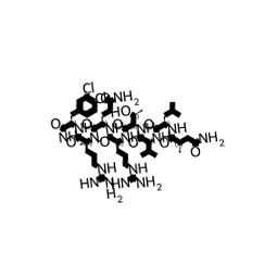 CC(C)C[C@H](NC(=O)[C@@H](C)CC(N)=O)C(=O)N[C@H](C(=O)N[C@H](C(=O)N[C@@H](CCCNC(=N)N)C(=O)N[C@@H](CCC(N)=O)C(=O)N(C)[C@@H](CCCNC(=N)N)C(=O)N[C@@H](Cc1ccc(Cl)c(Cl)c1)C(N)=O)[C@@H](C)O)C(C)C